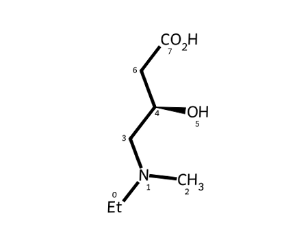 CCN(C)C[C@H](O)CC(=O)O